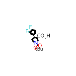 CC(C)(C)OC(=O)N1CC[C@@H](c2ccc(F)c(F)c2)[C@H](C(=O)O)C1